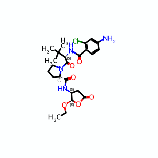 CCO[C@@H]1OC(=O)C[C@@H]1NC(=O)[C@@H]1CCCN1C(=O)[C@@H](NC(=O)c1ccc(N)cc1Cl)C(C)(C)C